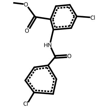 COC(=O)c1ccc(Cl)cc1NC(=O)c1ccc(Cl)cc1